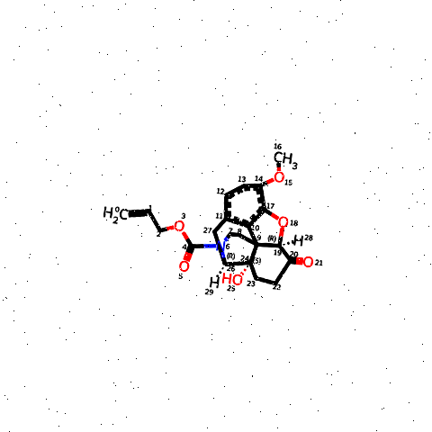 C=CCOC(=O)N1CCC23c4c5ccc(OC)c4O[C@H]2C(=O)CC[C@@]3(O)[C@H]1C5